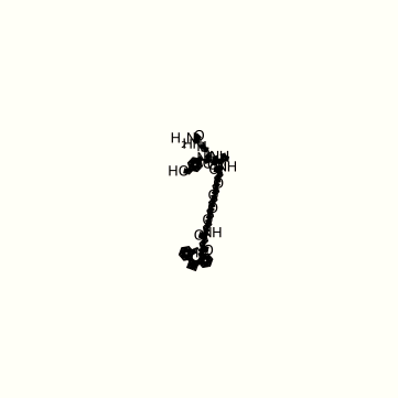 CC(C)[C@H](NC(=O)CCOCCOCCOCCOCCNC(=O)CCC(=O)N1Cc2ccccc2C2=C(CC2)c2ccccc21)C(=O)N[C@@H](CCCNC(N)=O)C(=O)Nc1ccc(CO)cc1